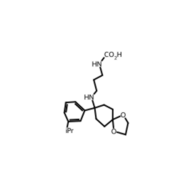 CC(C)c1cccc(C2(NCCCNC(=O)O)CCC3(CC2)OCCO3)c1